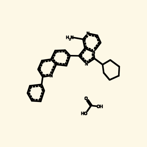 Nc1nccn2c(C3CCCCC3)nc(-c3ccc4ccc(-c5ccccc5)nc4c3)c12.O=C(O)O